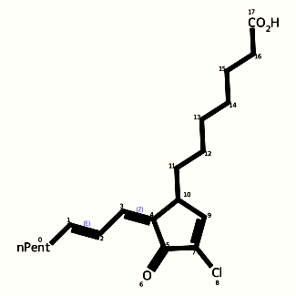 CCCCC/C=C/C=C1\C(=O)C(Cl)=CC1CCCCCCC(=O)O